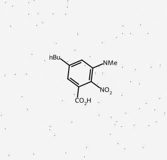 CCCCc1cc(NC)c([N+](=O)[O-])c(C(=O)O)c1